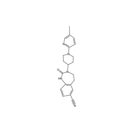 N#Cc1ccc2c(c1)CCN(C1CCN(c3ccc(I)cn3)CC1)C(=O)N2